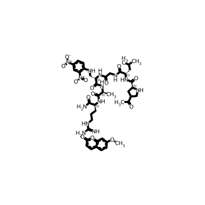 CC(=O)C1CN[C@H](C(=O)N[C@@H](CC(C)C)C(=O)NCC(=O)N[C@@H](CNc2ccc([N+](=O)[O-])cc2[N+](=O)[O-])C(=O)N[C@@H](C)C(=O)N[C@@H](CCCNC(=N)N)C(N)=O)C1.COc1ccc2ccc(=O)oc2c1